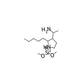 CCCCCC1NCCC1C(C)N.CO[SiH2]OC